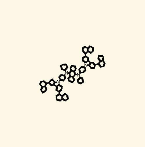 c1ccc(N(c2ccc(-n3c4ccc(-c5cccc6ccccc56)cc4c4cc(-c5cccc6ccccc56)ccc43)cc2)c2c3ccccc3c(N(c3ccccc3)c3ccc(-n4c5ccc(-c6cccc7ccccc67)cc5c5cc(-c6cccc7ccccc67)ccc54)cc3)c3ccccc23)cc1